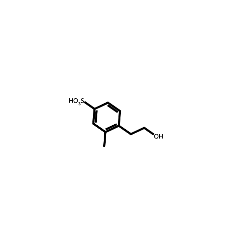 Cc1cc(S(=O)(=O)O)ccc1CCO